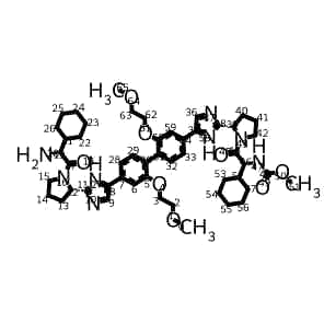 COCCOc1cc(-c2cnc([C@@H]3CCCN3C(=O)[C@@H](N)C3CCCCC3)[nH]2)ccc1-c1ccc(-c2cnc([C@@H]3CCCN3C(=O)[C@@H](NC(=O)OC)C3CCCCC3)[nH]2)cc1OCCOC